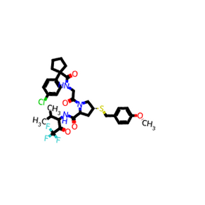 COc1ccc(CS[C@@H]2CC(C(=O)NC(C(=O)C(F)(F)F)C(C)C)N(C(=O)CNC(=O)C3(c4ccc(Cl)cc4)CCCC3)C2)cc1